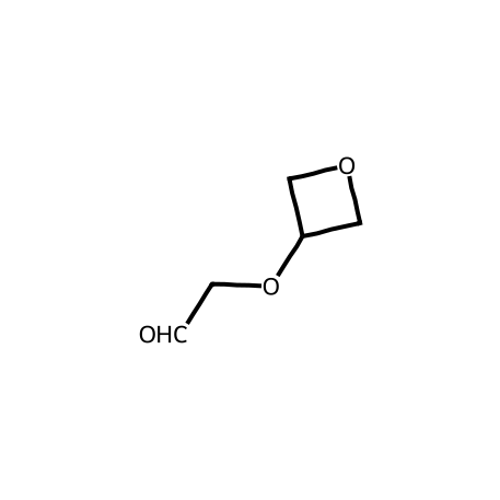 O=CCOC1COC1